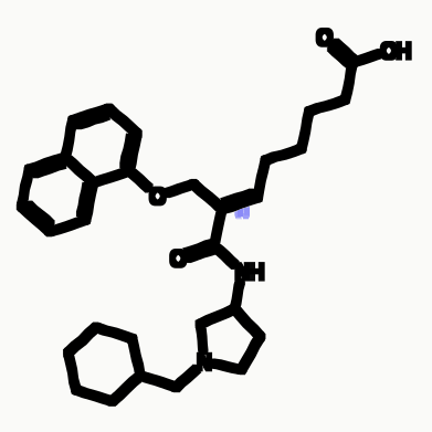 O=C(O)CCCC/C=C(\COc1cccc2ccccc12)C(=O)NC1CCN(CC2CCCCC2)C1